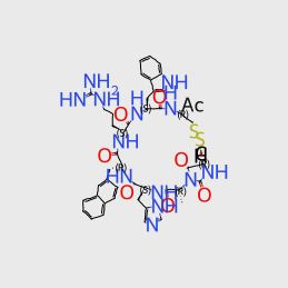 CC(=O)[C@@H]1CSSC[C@@H]2NC(=O)N(C2=O)[C@H](C)C(=O)N[C@@H](Cc2cnc[nH]2)C(=O)N[C@H](Cc2ccc3ccccc3c2)C(=O)N[C@@H](CCCNC(=N)N)C(=O)N[C@@H](Cc2c[nH]c3ccccc23)C(=O)N1